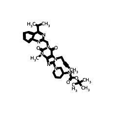 CC#CCn1c(N2CCCC(NC(=O)OC(C)(C)C)C2)nc2c1c(=O)n(Cc1nc(C(C)C)c3ccccc3n1)c(=O)n2C